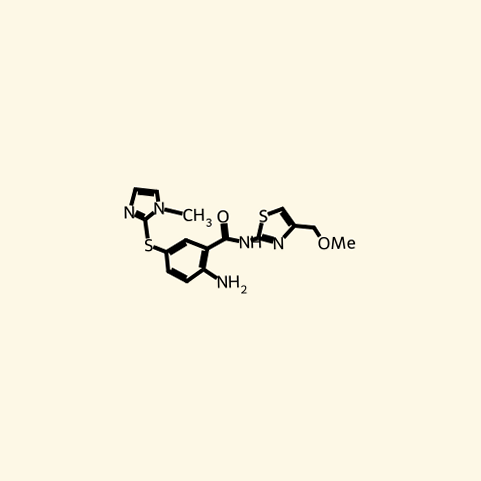 COCc1csc(NC(=O)c2cc(Sc3nccn3C)ccc2N)n1